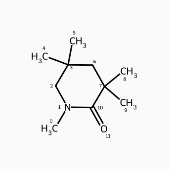 CN1CC(C)(C)CC(C)(C)C1=O